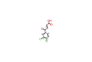 O=C(O)/C=C/C(=O)c1ccc(Cl)c(Cl)c1